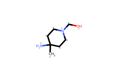 CC1(N)CCN(CO)CC1